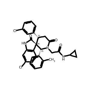 Cc1ccccc1[C@H]1N(CC(=O)NC2CC2)C(=O)C[C@@H](c2cccc(Cl)c2)[C@]12C(=O)Nc1cc(Cl)ccc12